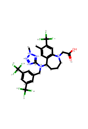 Cc1cc2c(cc1C(F)(F)F)N(CC(=O)O)CCCC2N(Cc1cc(C(F)(F)F)cc(C(F)(F)F)c1)c1nnn(C)n1